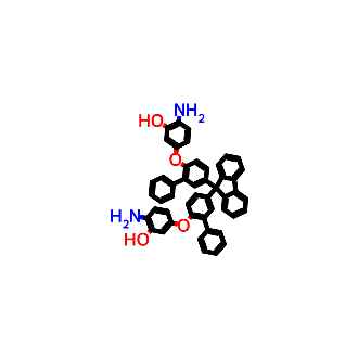 Nc1ccc(Oc2ccc(C3(c4ccc(Oc5ccc(N)c(O)c5)c(-c5ccccc5)c4)c4ccccc4-c4ccccc43)cc2-c2ccccc2)cc1O